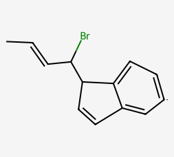 CC=CC(Br)C1C=Cc2c[c]ccc21